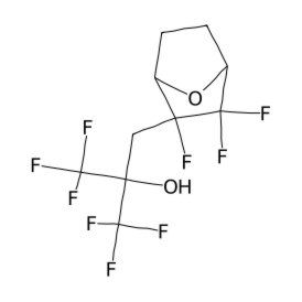 OC(CC1(F)C2CCC(O2)C1(F)F)(C(F)(F)F)C(F)(F)F